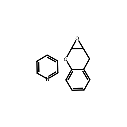 c1ccc2c(c1)CC1OC1O2.c1ccncc1